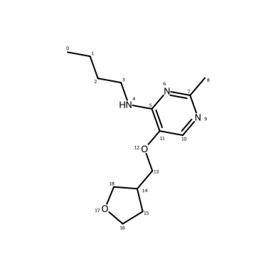 CCCCNc1nc(C)ncc1OCC1CCOC1